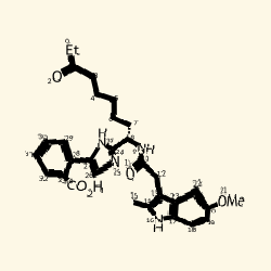 CCC(=O)CCCCC[C@H](NC(=O)Cc1c(C)[nH]c2ccc(OC)cc12)c1ncc(-c2ccccc2C(=O)O)[nH]1